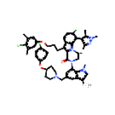 Cc1cc(OCCCc2c3n(c4c(-c5c(C)nn(C)c5C)c(Cl)ccc24)[C@H](C)CN(c2cc(CN4CCC(Oc5ccc(Cl)cc5)CC4)cc4c(C(=O)O)cn(C)c24)C3=O)cc(C)c1Cl